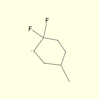 CC1C[CH]C(F)(F)CC1